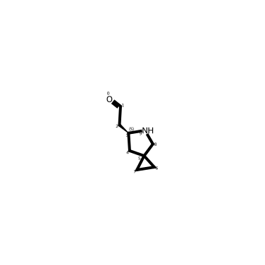 O=CC[C@@H]1CC2(CC2)CN1